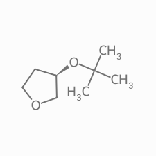 CC(C)(C)O[C@@H]1CCOC1